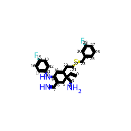 C=CC1(CN)CC(C=N)=C(Nc2ccc(F)cc2)C=C1CCSCc1cccc(F)c1